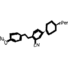 CCCCC[C@H]1CC[C@H](c2ccc(CCc3ccc(OCCCC)cc3)c(C#N)c2)CC1